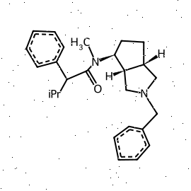 CC(C)C(C(=O)N(C)[C@H]1CC[C@@H]2CN(Cc3ccccc3)C[C@@H]21)c1ccccc1